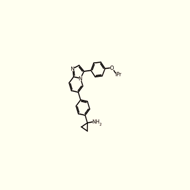 CC(C)Oc1ccc(-c2cnc3ccc(-c4ccc(C5(N)CC5)cc4)cn23)cc1